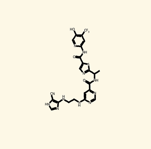 CC(NC(=O)c1cc(NCCNc2nc[nH]c2C#N)ncn1)c1ncc(C(=O)Nc2cc(C(F)(F)F)c(O)cn2)s1